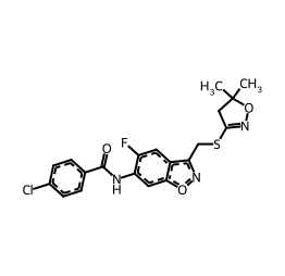 CC1(C)CC(SCc2noc3cc(NC(=O)c4ccc(Cl)cc4)c(F)cc23)=NO1